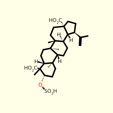 C=C(C)[C@@H]1CC[C@]2(C(=O)O)CC[C@]3(C)[C@H](CC[C@@H]4[C@@]5(C)CC[C@H](OS(=O)(=O)O)[C@@](C)(C(=O)O)[C@@H]5CC[C@]43C)[C@@H]12